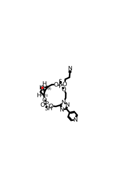 N#CCCOP1(=S)OCCn2nc(-c3ccncc3)nc2COP(=O)(S)O[C@H]2CO[C@H](CO1)[C@H]2F